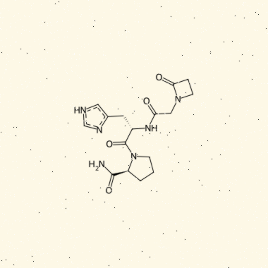 NC(=O)[C@@H]1CCCN1C(=O)[C@H](Cc1c[nH]cn1)NC(=O)CN1CCC1=O